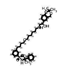 CC1(C)OCc2cc([C@@H](O)CNCCCCCCOCCCCc3cccc(S(=O)(=O)NC(C)(C)c4ccccc4)c3)ccc2O1